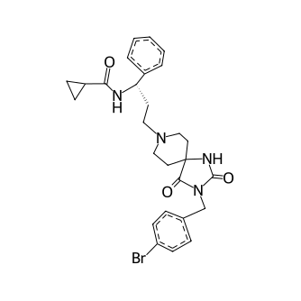 O=C(N[C@@H](CCN1CCC2(CC1)NC(=O)N(Cc1ccc(Br)cc1)C2=O)c1ccccc1)C1CC1